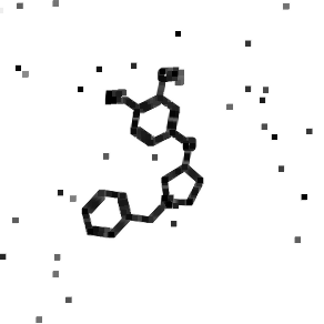 Cc1cc(OC2CCN(Cc3ccccc3)C2)ccc1C#N